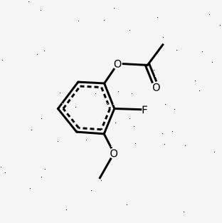 COc1cccc(OC(C)=O)c1F